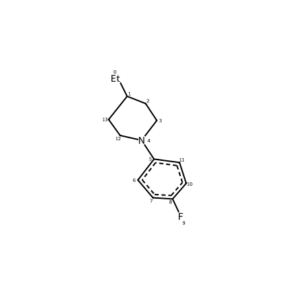 [CH2]CC1CCN(c2ccc(F)cc2)CC1